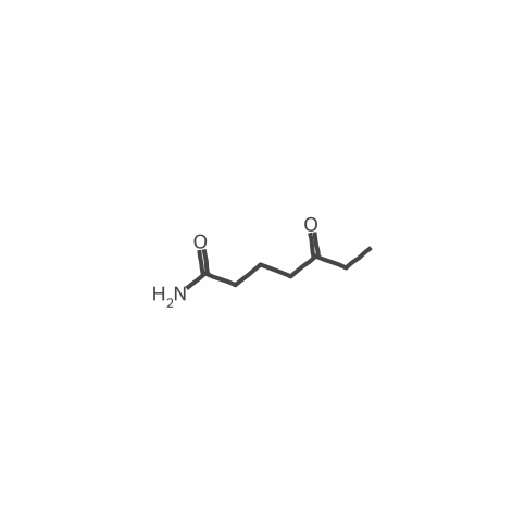 CCC(=O)CCCC(N)=O